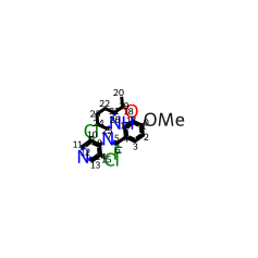 COc1ccc(C(F)=Nc2c(Cl)cncc2Cl)cc1OC(C)C1CCCCN1